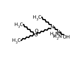 CCCCCCCCC(CCCCCCCC)OC(=O)CCCCCCCN(CCCCCCCC)CCCN(N)/C=C(\N)CO